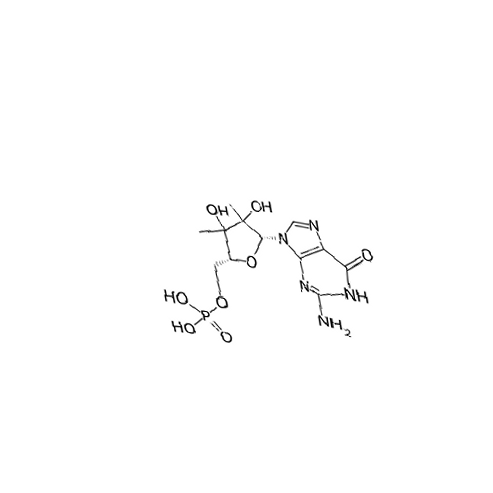 CC1(O)[C@@H](COP(=O)(O)O)O[C@@H](n2cnc3c(=O)[nH]c(N)nc32)C1(C)O